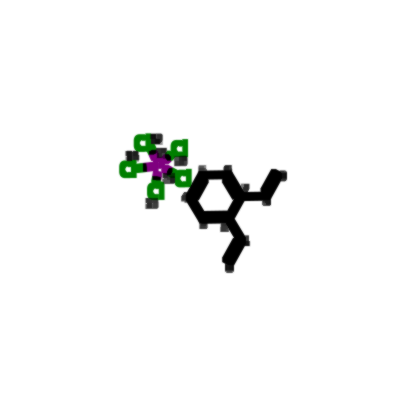 C=Cc1ccccc1C=C.ClP(Cl)(Cl)(Cl)Cl